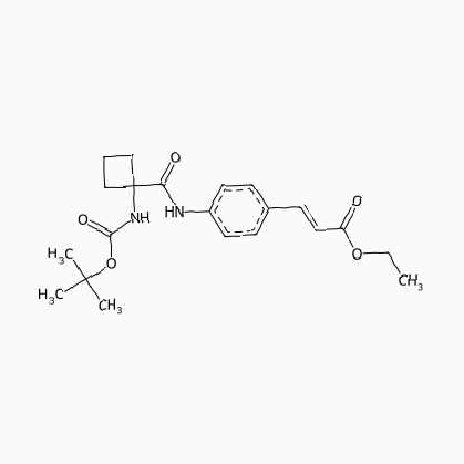 CCOC(=O)/C=C/c1ccc(NC(=O)C2(NC(=O)OC(C)(C)C)CCC2)cc1